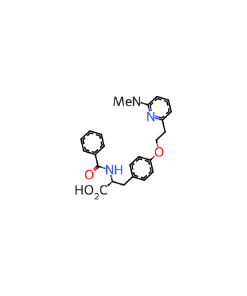 CNc1cccc(CCOc2ccc(C[C@H](NC(=O)c3ccccc3)C(=O)O)cc2)n1